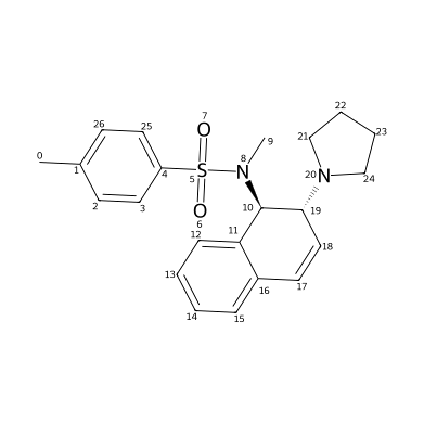 Cc1ccc(S(=O)(=O)N(C)[C@@H]2c3ccccc3C=C[C@H]2N2CCCC2)cc1